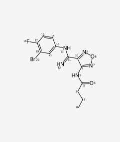 CCCC(=O)Nc1nonc1C(=N)Nc1ccc(F)c(Br)c1